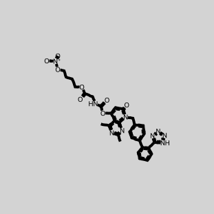 Cc1nc(C)c2c(OC(=O)NCC(=O)OCCCCO[N+](=O)[O-])cc(=O)n(Cc3ccc(-c4ccccc4-c4nnn[nH]4)cc3)c2n1